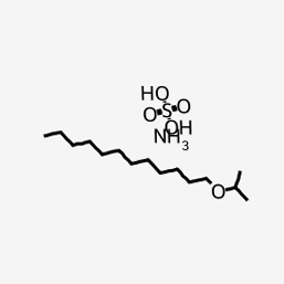 CCCCCCCCCCCCOC(C)C.N.O=S(=O)(O)O